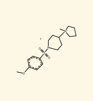 COc1ccc(S(=O)(=O)N2CCC([N+]3(C)CCCC3)CC2)cc1.[I-]